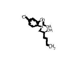 CCCC[C@H](O)CN(C(=O)O)c1ccc(Cl)cc1Cl